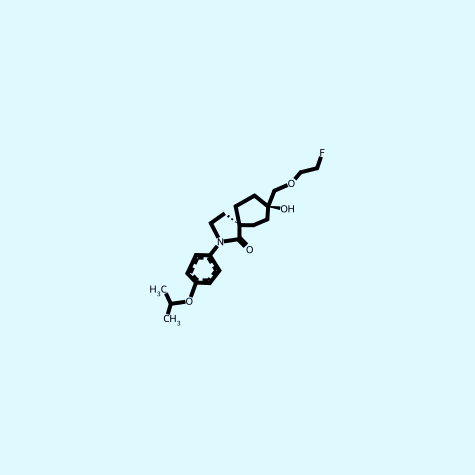 CC(C)Oc1ccc(N2CC[C@]3(CC[C@@](O)(COCCF)CC3)C2=O)cc1